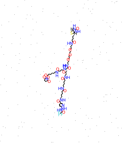 O=C(CCCCCNC(=O)c1ccc(NNC(=O)C(F)(F)F)nc1)NCCCCCC(=O)NCCCC[C@H](NC(=O)CCC(=O)NCCCCCC(=O)ON1C(=O)CCC1=O)C(=O)NCCCOCCOCCOCCCNC(=O)CCCC[C@@H]1SC[C@@H]2NC(=O)N[C@@H]21